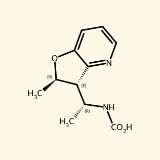 C[C@@H](NC(=O)O)[C@H]1c2ncccc2O[C@@H]1C